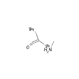 CC(C)C(=O)C(C)C.CN